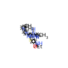 CCC(=O)Nc1ccc(Sc2nc(Nc3cc(C)n[nH]3)cc(N3CCC(N4CCCC4(C)C)C3)n2)cc1